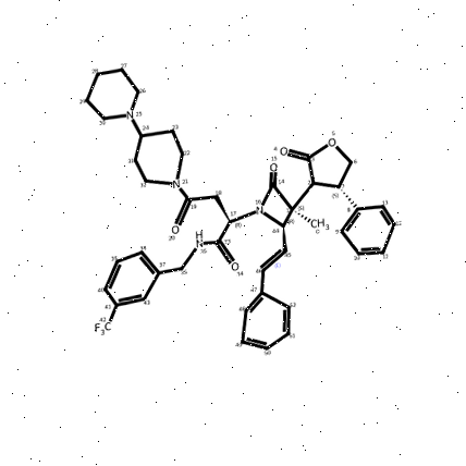 C[C@@]1(C2C(=O)OC[C@@H]2c2ccccc2)C(=O)N([C@H](CC(=O)N2CCC(N3CCCCC3)CC2)C(=O)NCc2cccc(C(F)(F)F)c2)[C@@H]1/C=C/c1ccccc1